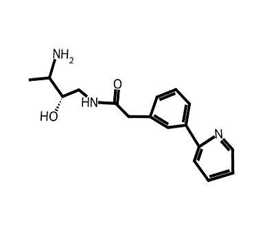 CC(N)[C@@H](O)CNC(=O)Cc1cccc(-c2ccccn2)c1